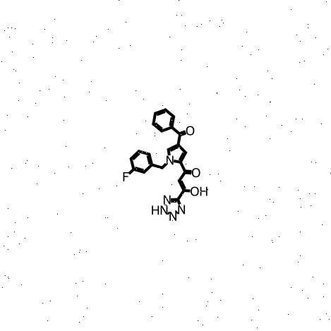 O=C(c1ccccc1)c1cc(C(=O)C=C(O)c2nn[nH]n2)n(Cc2cccc(F)c2)c1